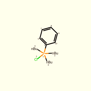 CCCCP(Cl)(CCCC)(CCCC)c1ccccc1